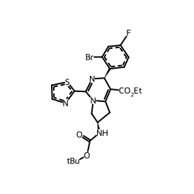 CCOC(=O)C1=C2C[C@@H](NC(=O)OC(C)(C)C)CN2C(c2nccs2)=N[C@H]1c1ccc(F)cc1Br